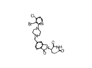 O=C1CCC(N2Cc3cc(CN4CCN(c5nccc(Cl)c5Br)CC4)ccc3C2=O)C(=O)N1